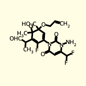 C=CCOC1(C(=O)O)C=C(n2c(=O)cc(C(F)F)n(N)c2=O)C(F)=C(C(C)C=O)C1(C)Cl